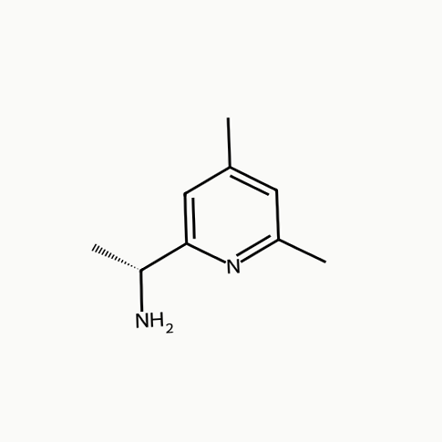 Cc1cc(C)nc([C@@H](C)N)c1